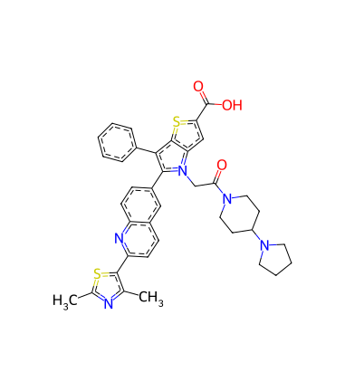 Cc1nc(C)c(-c2ccc3cc(-c4c(-c5ccccc5)c5sc(C(=O)O)cc5n4CC(=O)N4CCC(N5CCCC5)CC4)ccc3n2)s1